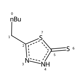 CCCCCc1n[nH]c(=S)s1